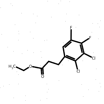 CCOC(=O)CCc1cc(F)c(F)c(Cl)c1Cl